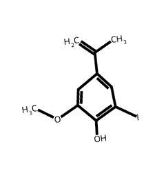 C=C(C)c1cc(I)c(O)c(OC)c1